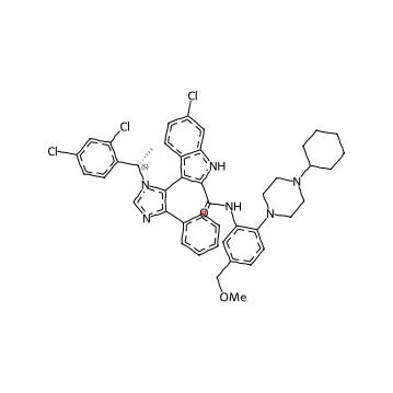 COCc1ccc(N2CCN(C3CCCCC3)CC2)c(NC(=O)c2[nH]c3cc(Cl)ccc3c2-c2c(-c3ccccc3)ncn2[C@@H](C)c2ccc(Cl)cc2Cl)c1